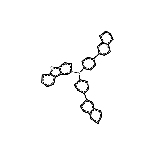 c1ccc2cc(-c3ccc(N(c4ccc(-c5ccc6ccccc6c5)cc4)c4ccc5oc6ccccc6c5c4)cc3)ccc2c1